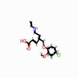 C=C/N=C/C=C(\C=C\C(=O)O)COc1ccc(Cl)cc1OC